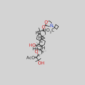 CC(=O)O[C@@H]([C@H]1C[C@@H](C)[C@H]2[C@H](O1)[C@H](O)[C@@]1(C)[C@@H]3CC[C@H]4C(C)(C)[C@@H](O[C@H]5CN(C6(C(=O)O)CCC6)CCO5)CC[C@@]45C[C@@]35CC[C@]21C)C(C)(C)O